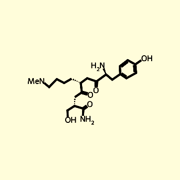 CNCCCC[C@H](CC(=O)[C@@H](N)Cc1ccc(O)cc1)C(=O)C[C@@H](CO)C(N)=O